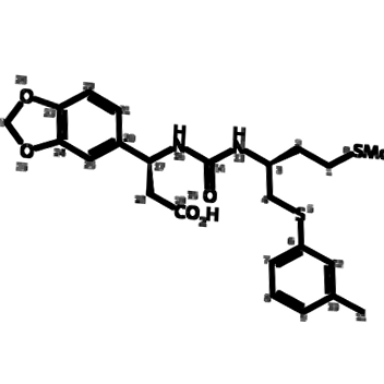 CSCC[C@@H](CSc1cccc(C)c1)NC(=O)N[C@@H](CC(=O)O)c1ccc2c(c1)OCO2